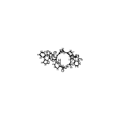 CCn1c(-c2cccnc2[C@H](C)OC)c2c3cc(ccc31)-c1csc(n1)C[C@H](NC(=O)C(C(C)C)N(C)C(=O)[C@H]1OCC[C@H]1c1ccccc1)C(=O)N1CCC[C@H](N1)C(=O)OCC(C)(C)C2